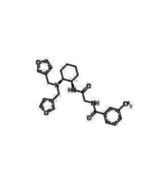 O=C(CNC(=O)c1cccc(C(F)(F)F)c1)N[C@@H]1CCCC[C@@H]1N(Cc1ccoc1)Cc1ccoc1